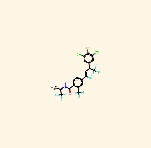 CC(NC(=O)c1ccc(/C(F)=C/C(c2cc(Cl)c(Br)c(Cl)c2)C(F)(F)F)cc1C(F)(F)F)C(F)(F)F